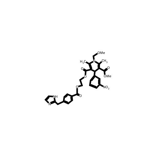 COCN1C(C)=C(C(=O)OC)C(c2cccc([N+](=O)[O-])c2)C(C(=O)OCCOC(=O)c2ccc(Cc3ncc[nH]3)cc2)=C1C